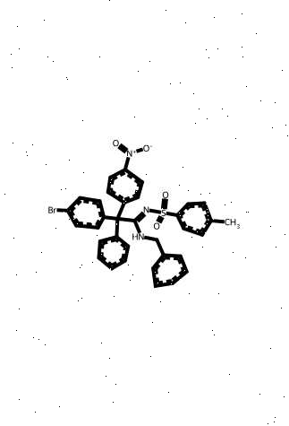 Cc1ccc(S(=O)(=O)N=C(NCc2ccccc2)C(c2ccccc2)(c2ccc(Br)cc2)c2ccc([N+](=O)[O-])cc2)cc1